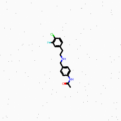 CC(=O)Nc1ccc(CNCCc2ccc(Cl)c(F)c2)cc1